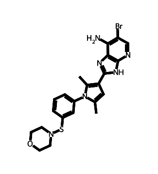 Cc1cc(-c2nc3c(N)c(Br)cnc3[nH]2)c(C)n1-c1cccc(SN2CCOCC2)c1